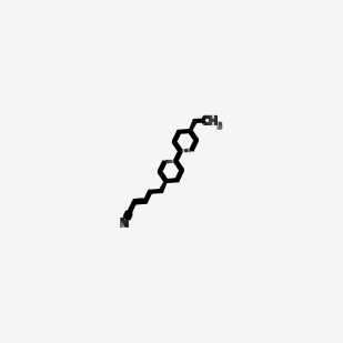 CC[C@H]1CC[C@H]([C@H]2CC[C@H](CCC=CC#N)CC2)CC1